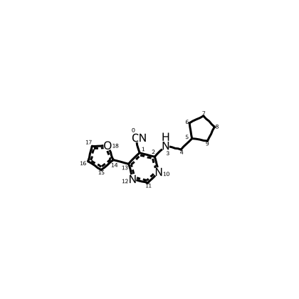 N#Cc1c(NCC2CCCC2)ncnc1-c1ccco1